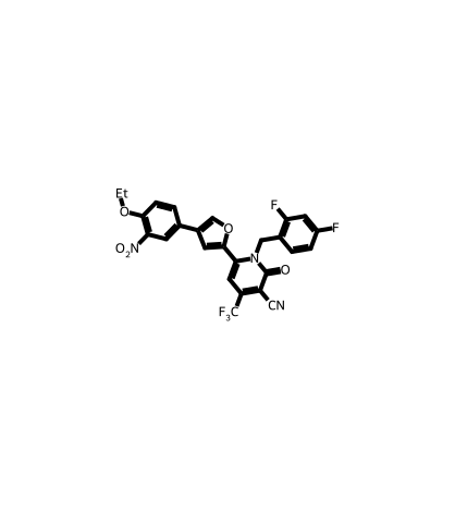 CCOc1ccc(-c2coc(-c3cc(C(F)(F)F)c(C#N)c(=O)n3Cc3ccc(F)cc3F)c2)cc1[N+](=O)[O-]